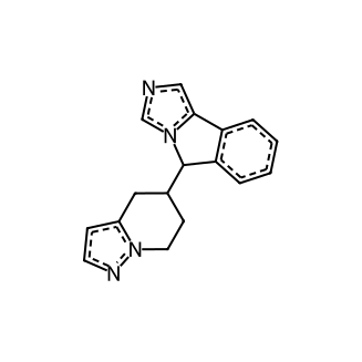 c1ccc2c(c1)-c1cncn1C2C1CCn2nccc2C1